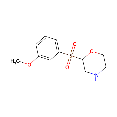 COc1cccc(S(=O)(=O)C2CNCCO2)c1